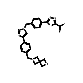 FC(F)c1nnc(-c2ccc(Cn3cc(-c4ccc(CN5CC6(COC6)C5)cc4)nn3)cc2)o1